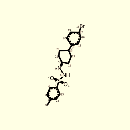 Cc1ccc(S(=O)(=O)NN=C2CCC(c3ccc(Br)cc3)CC2)cc1